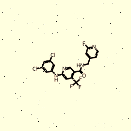 O=C(NCc1ccnc(F)c1)c1cnc(Nc2cc(Cl)cc(Cl)c2)cc1C(F)(F)F